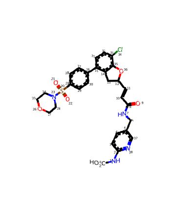 O=C(O)Nc1ccc(CNC(=O)C=CC2Cc3c(-c4ccc(S(=O)(=O)N5CCOCC5)cc4)ccc(Cl)c3O2)cn1